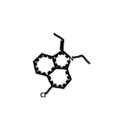 C/C=c1\c2cccc3c(Cl)ccc(c32)n1CC